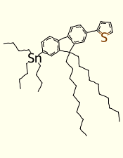 CCCCCCCCCCC1(CCCCCCCCCC)c2cc(-c3cccs3)ccc2-c2cc[c]([Sn]([CH2]CCC)([CH2]CCC)[CH2]CCC)cc21